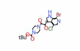 CC(C)(C)OC(=O)N1CCN(C(=O)C(=O)[C@H]2CNc3c(Br)ncc(Cl)c32)CC1